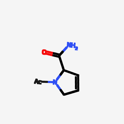 CC(=O)N1CC=CC1C(N)=O